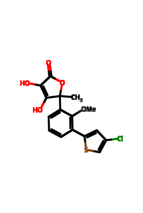 COc1c(-c2cc(Cl)cs2)cccc1C1(C)OC(=O)C(O)=C1O